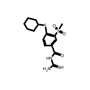 CS(=O)(=O)c1cc(C(=O)NC(=N)N)ccc1SC1CCCCC1